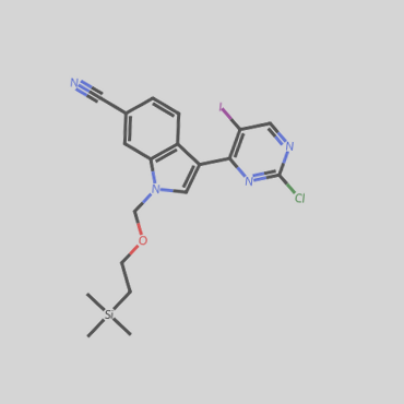 C[Si](C)(C)CCOCn1cc(-c2nc(Cl)ncc2I)c2ccc(C#N)cc21